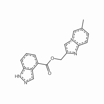 Cc1ccc2nc(COC(=O)c3cccc4[nH]ncc34)cn2c1